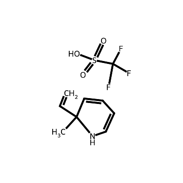 C=CC1(C)C=CC=CN1.O=S(=O)(O)C(F)(F)F